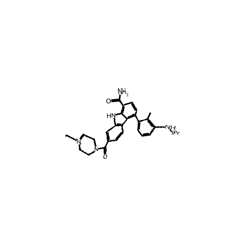 Cc1c(NC(C)C)cccc1-c1ccc(C(N)=O)c2[nH]c3cc(C(=O)N4CCN(C)CC4)ccc3c12